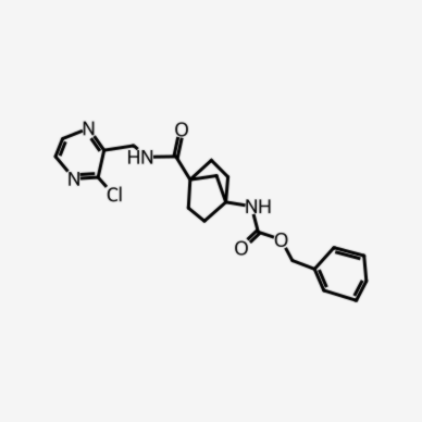 O=C(NC12CCC(C(=O)NCc3nccnc3Cl)(CC1)C2)OCc1ccccc1